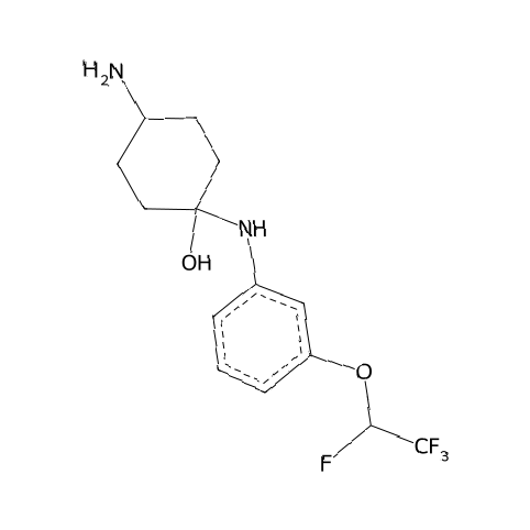 NC1CCC(O)(Nc2cccc(OC(F)C(F)(F)F)c2)CC1